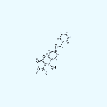 COC(=O)c1c(O)c2ccc(OCc3ccccc3)cc2oc1=O